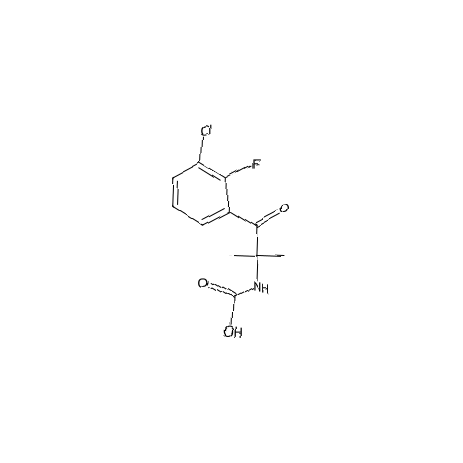 CC(C)(NC(=O)O)C(=O)c1cccc(Cl)c1F